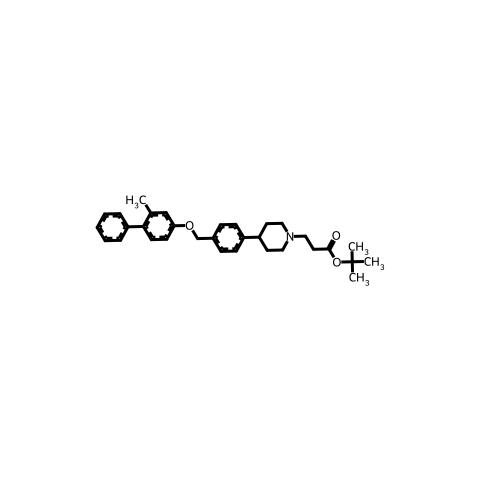 Cc1cc(OCc2ccc(C3CCN(CCC(=O)OC(C)(C)C)CC3)cc2)ccc1-c1ccccc1